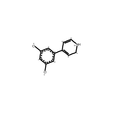 Clc1cc(Cl)cc(C2=CCN[C]=C2)c1